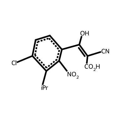 CC(C)c1c(Cl)ccc(C(O)=C(C#N)C(=O)O)c1[N+](=O)[O-]